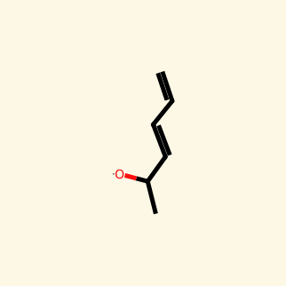 C=CC=CC(C)[O]